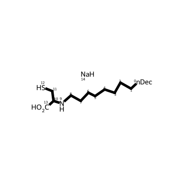 CCCCCCCCCCCCCCCCCCNC(CS)C(=O)O.[NaH]